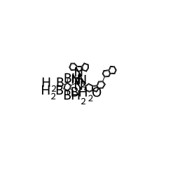 Bc1c(B)c(B)c(-c2nc(-c3ccc4oc5ccc(-c6ccc7ccccc7c6)cc5c4c3)nc(-n3c4ccccc4c4ccccc43)n2)c(B)c1B